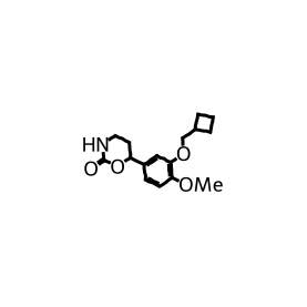 COc1ccc(C2CCNC(=O)O2)cc1OCC1CCC1